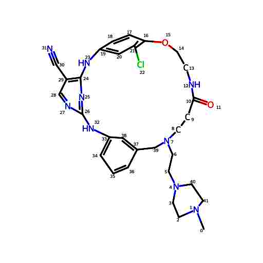 CN1CCN(CCN2CCC(=O)NCCOc3ccc(cc3Cl)Nc3nc(ncc3C#N)Nc3cccc(c3)C2)CC1